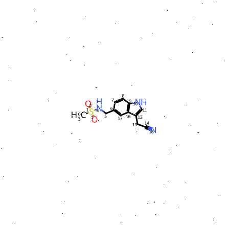 CS(=O)(=O)NCc1ccc2[nH]cc(CC#N)c2c1